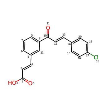 O=C(O)C=Cc1cccc(C(=O)C=Cc2ccc(Cl)cc2)c1